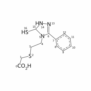 O=C(O)CSCCN1C(c2ccccc2)=NNC1S